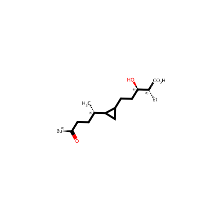 CC[C@H](C)C(=O)CC[C@H](C)C1CC1CC[C@@H](O)[C@@H](CC)C(=O)O